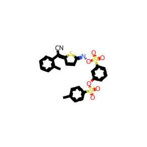 Cc1ccc(S(=O)(=O)Oc2cccc(S(=O)(=O)ON=C3C=CC(=C(C#N)c4ccccc4C)S3)c2)cc1